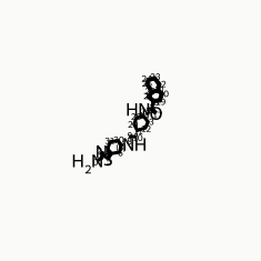 Nc1nc2c(s1)C[C@@H](NCC[C@H]1CC[C@H](NC(=O)c3ccc4ccccc4c3)CC1)CC2